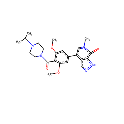 COc1cc(-c2cn(C)c(=O)c3[nH]ncc23)cc(OC)c1C(=O)N1CCN(C(C)C)CC1